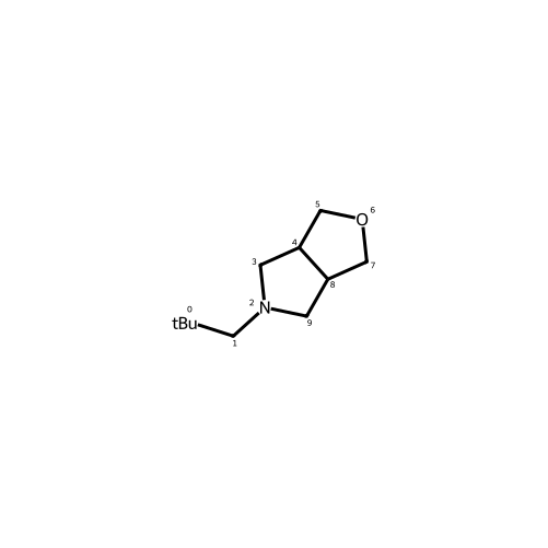 CC(C)(C)CN1CC2COCC2C1